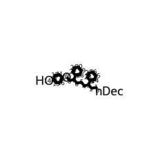 CCCCCCCCCCCCC(CCCC(COc1ccc(O)cc1)c1ccccc1)c1ccccc1